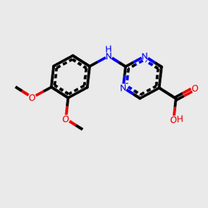 COc1ccc(Nc2ncc(C(=O)O)cn2)cc1OC